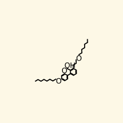 CCCCCCCCOc1ccc(-c2cccc(CCCOCCCCCCC)c2C(=O)O)cc1